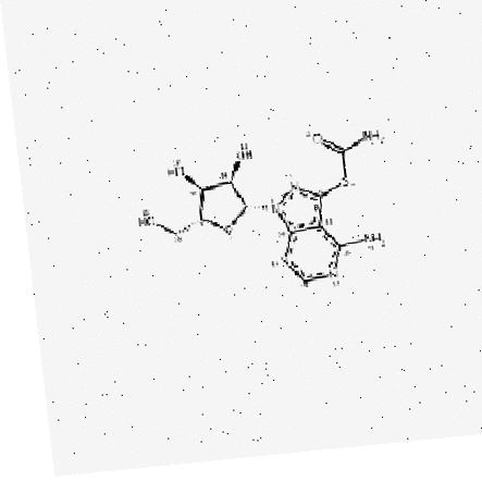 NC(=O)Sc1nn([C@@H]2O[C@H](CO)[C@@H](O)[C@H]2O)c2ncnc(N)c12